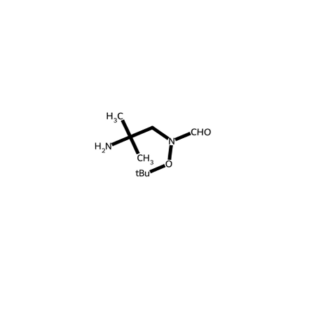 CC(C)(N)CN(C=O)OC(C)(C)C